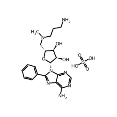 CN(CCCN)C[C@H]1O[C@@H](n2c(-c3ccccc3)nc3c(N)ncnc32)[C@H](O)[C@@H]1O.O=S(=O)(O)O